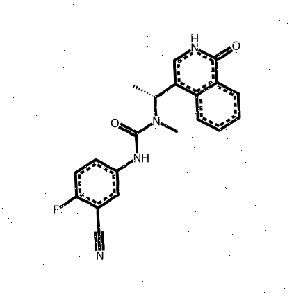 C[C@H](c1c[nH]c(=O)c2ccccc12)N(C)C(=O)Nc1ccc(F)c(C#N)c1